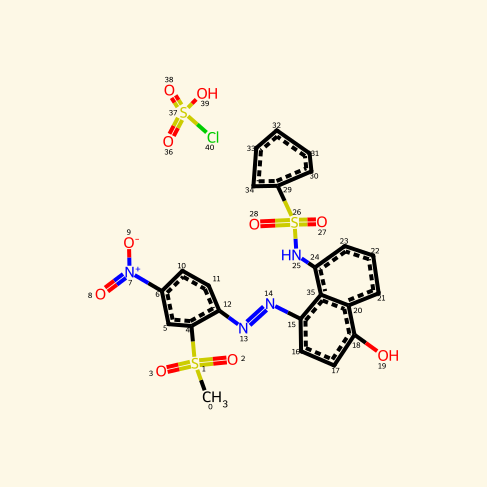 CS(=O)(=O)c1cc([N+](=O)[O-])ccc1/N=N/c1ccc(O)c2cccc(NS(=O)(=O)c3ccccc3)c12.O=S(=O)(O)Cl